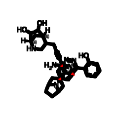 Nc1nnc(-c2ccccc2O)cc1N1CC2CCC(C1)N2c1ccnc(C#CCC2CN[C@H]3C[C@@H]2C(O)C3O)c1